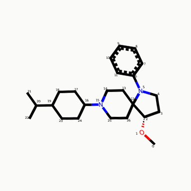 CO[C@H]1CCN(c2ccccc2)C12CCN(C1CCC(C(C)C)CC1)CC2